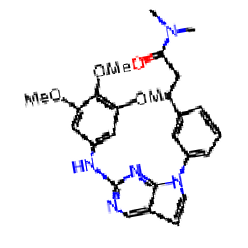 COc1cc(Nc2ncc3ccn(-c4cccc(CCC(=O)N(C)C)c4)c3n2)cc(OC)c1OC